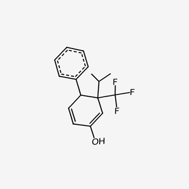 CC(C)C1(C(F)(F)F)C=C(O)C=CC1c1ccccc1